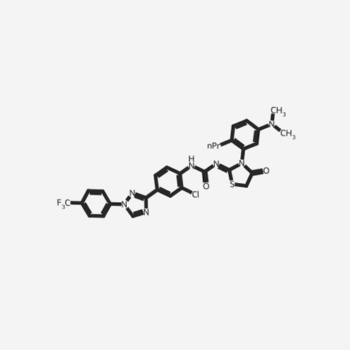 CCCc1ccc(N(C)C)cc1N1C(=O)CS/C1=N\C(=O)Nc1ccc(-c2ncn(-c3ccc(C(F)(F)F)cc3)n2)cc1Cl